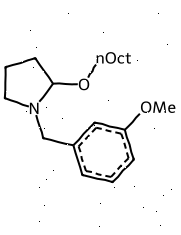 CCCCCCCCOC1CCCN1Cc1cccc(OC)c1